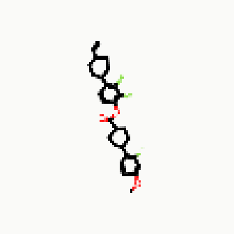 C=CC1CCC(c2ccc(OC(=O)C3CCC(c4ccc(OC)cc4F)CC3)c(F)c2F)CC1